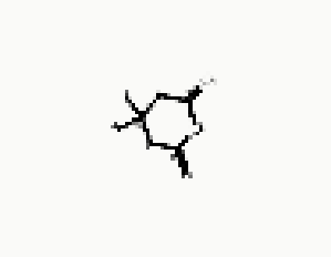 C=C1CC(C)(C)CC(=O)O1